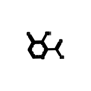 CCC(=O)c1occc(=O)c1O